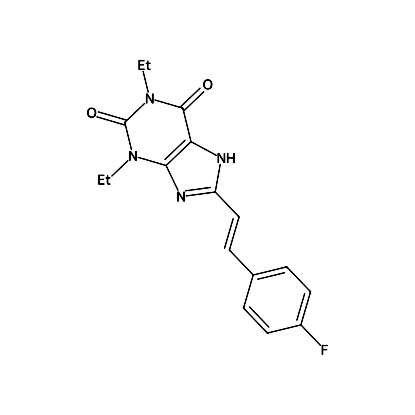 CCn1c(=O)c2[nH]c(/C=C/c3ccc(F)cc3)nc2n(CC)c1=O